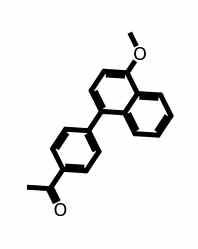 COc1ccc(-c2ccc(C(C)=O)cc2)c2ccccc12